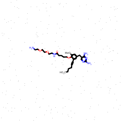 COc1cc(Cc2cnc(N)nc2N)cc(C#CCCCC(=O)O)c1OCCCCC(=O)NCCOCCOCCN